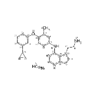 C#N.Cc1cc(Nc2ncnc3ccn(CCN)c23)ccc1Oc1cccc(C2CC2)c1